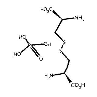 N[C@@H](CSSC[C@H](N)C(=O)O)C(=O)O.O=P(O)(O)O